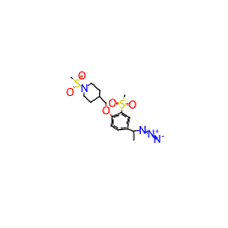 CC(N=[N+]=[N-])c1ccc(OCC2CCN(S(C)(=O)=O)CC2)c(S(C)(=O)=O)c1